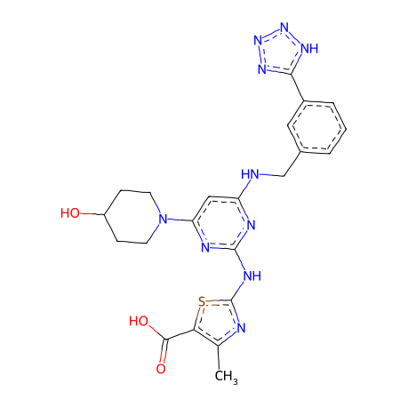 Cc1nc(Nc2nc(NCc3cccc(-c4nnn[nH]4)c3)cc(N3CCC(O)CC3)n2)sc1C(=O)O